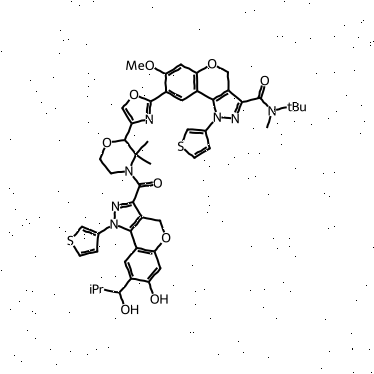 COc1cc2c(cc1-c1nc(C3OCCN(C(=O)c4nn(-c5ccsc5)c5c4COc4cc(O)c(C(O)C(C)C)cc4-5)C3(C)C)co1)-c1c(c(C(=O)N(C)C(C)(C)C)nn1-c1ccsc1)CO2